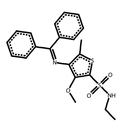 CCNS(=O)(=O)c1sc(C)c(N=C(c2ccccc2)c2ccccc2)c1OC